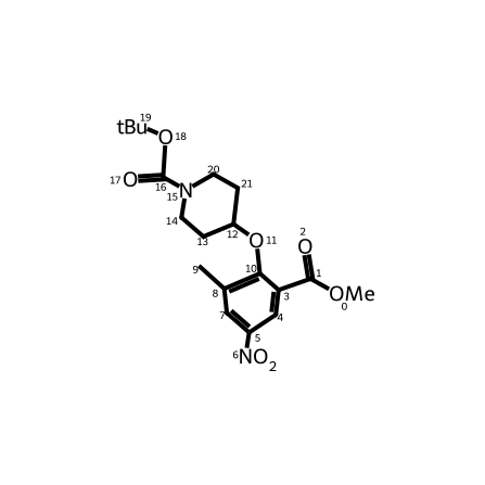 COC(=O)c1cc([N+](=O)[O-])cc(C)c1OC1CCN(C(=O)OC(C)(C)C)CC1